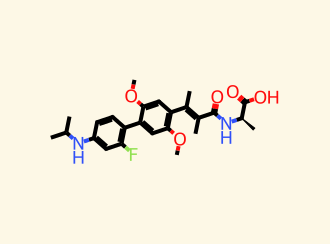 COc1cc(-c2ccc(NC(C)C)cc2F)c(OC)cc1/C(C)=C(\C)C(=O)N[C@H](C)C(=O)O